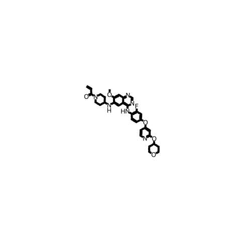 C=CC(=O)N1CCC(Nc2cc3c(Nc4ccc(Oc5ccnc(OC6CCOCC6)c5)cc4F)ncnc3cc2OC)CC1